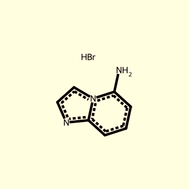 Br.Nc1cccc2nccn12